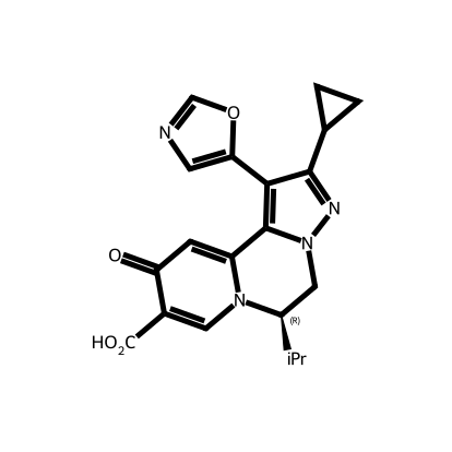 CC(C)[C@@H]1Cn2nc(C3CC3)c(-c3cnco3)c2-c2cc(=O)c(C(=O)O)cn21